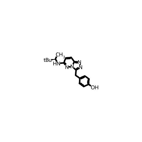 C[C@@H](Nc1ccc2nnc(Cc3ccc(O)cc3)n2n1)C(C)(C)C